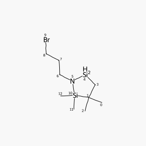 CC1(C)C[SiH2]N(CCCBr)[Si]1(C)C